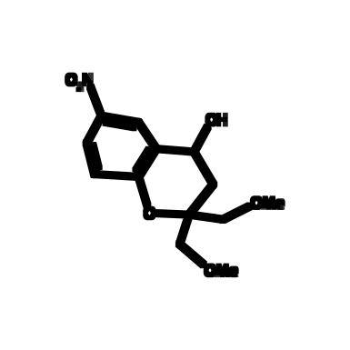 COCC1(COC)CC(O)c2cc([N+](=O)[O-])ccc2O1